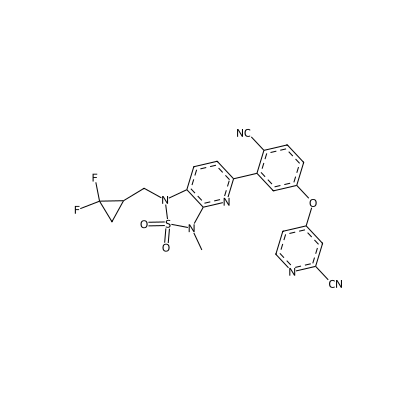 CN1c2nc(-c3cc(Oc4ccnc(C#N)c4)ccc3C#N)ccc2N(CC2CC2(F)F)S1(=O)=O